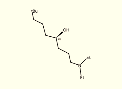 CCN(CC)CCC[C@H](O)CCCC(C)(C)C